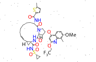 COc1ccc2c(O[C@@H]3C[C@H]4C(=O)N[C@]5(C(=O)NS(=O)(=O)C6CC6)C[C@H]5/C=C\CCCCC[C@H](NC(=O)c5ccc(C)s5)C(=O)N4C3)cc(OCC(F)(F)F)nc2c1C